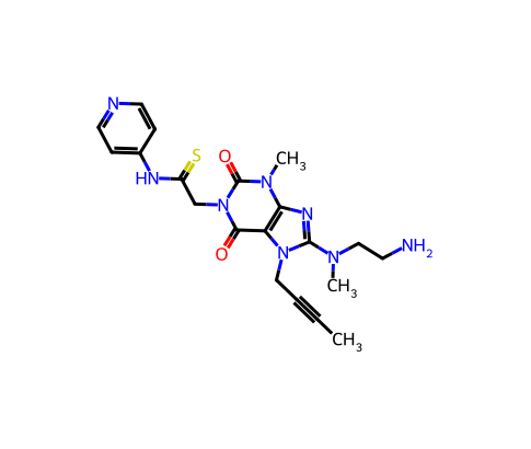 CC#CCn1c(N(C)CCN)nc2c1c(=O)n(CC(=S)Nc1ccncc1)c(=O)n2C